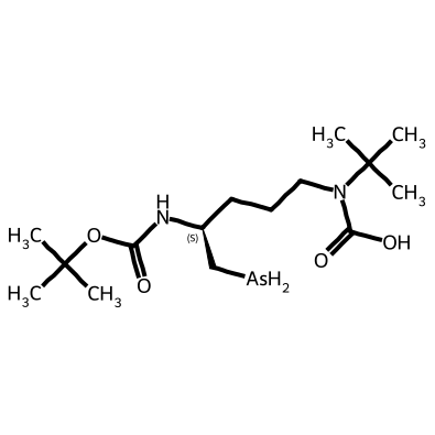 CC(C)(C)OC(=O)N[C@H](C[AsH2])CCCN(C(=O)O)C(C)(C)C